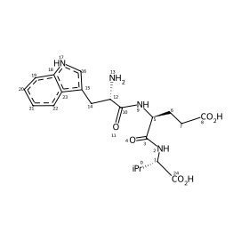 CC(C)[C@H](NC(=O)[C@H](CCC(=O)O)NC(=O)[C@@H](N)Cc1c[nH]c2ccccc12)C(=O)O